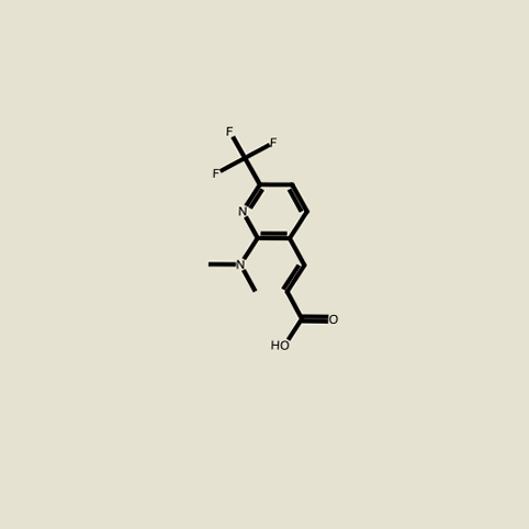 CN(C)c1nc(C(F)(F)F)ccc1/C=C/C(=O)O